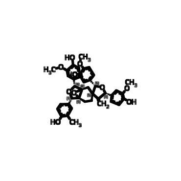 C=C1[C@@H](c2ccc(O)c(OC)c2)O[C@@H](c2ccc(OC)c(O)c2)[C@]12CC[C@@]13O[C@]1(C2)[C@@H](c1ccc(O)c(OC)c1)O[C@H]3c1ccc(O)c(C)c1